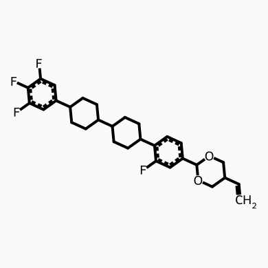 C=CC1COC(c2ccc(C3CCC(C4CCC(c5cc(F)c(F)c(F)c5)CC4)CC3)c(F)c2)OC1